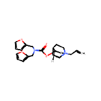 C=CC[N+]12CCC(CC1)[C@@H](OC(=O)N(Cc1ccco1)Cc1ccco1)C2